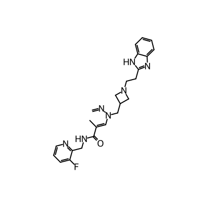 C=NN(/C=C(\C)C(=O)NCc1ncccc1F)CC1CN(CCc2nc3ccccc3[nH]2)C1